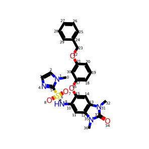 Cn1ccnc1S(=O)(=O)Nc1cc2c(cc1Oc1cccc(OCc3ccccc3)c1)n(C)c(=O)n2C